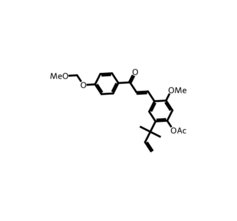 C=CC(C)(C)c1cc(/C=C/C(=O)c2ccc(OCOC)cc2)c(OC)cc1OC(C)=O